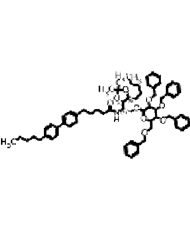 CCCCCc1ccc(-c2ccc(CCCCC(=O)N[C@@H](COC3OC(COCc4ccccc4)C(OCc4ccccc4)C(OCc4ccccc4)C3OCc3ccccc3)[C@@H]3OC(C)(C)O[C@H]3CCCCC)cc2)cc1